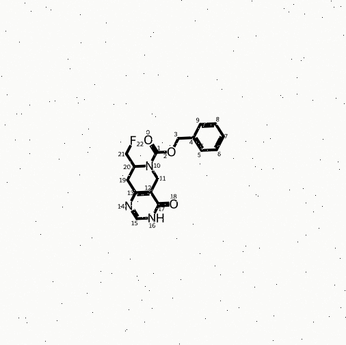 O=C(OCc1ccccc1)N1Cc2c(nc[nH]c2=O)CC1CF